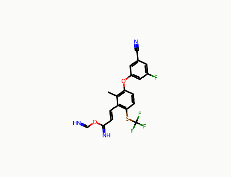 Cc1c(Oc2cc(F)cc(C#N)c2)ccc(SC(F)(F)F)c1/C=C/C(=N)OC=N